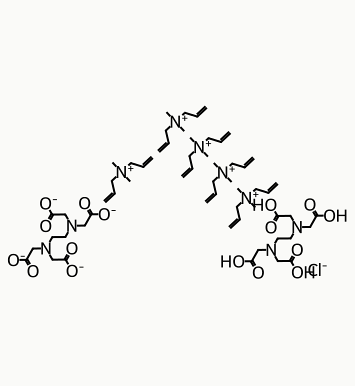 C=CC[N+](C)(C)CC=C.C=CC[N+](C)(C)CC=C.C=CC[N+](C)(C)CC=C.C=CC[N+](C)(C)CC=C.C=CC[N+](C)(C)CC=C.O=C(O)CN(CCN(CC(=O)O)CC(=O)O)CC(=O)O.O=C([O-])CN(CCN(CC(=O)[O-])CC(=O)[O-])CC(=O)[O-].[Cl-]